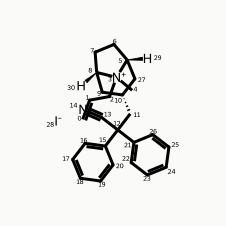 C=CC[N+]1(C)[C@@H]2CC[C@H]1C[C@@H](CC(C#N)(c1ccccc1)c1ccccc1)C2.[I-]